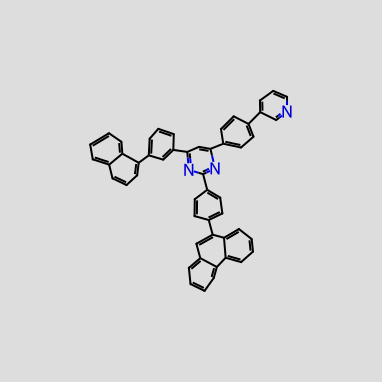 c1cncc(-c2ccc(-c3cc(-c4cccc(-c5cccc6ccccc56)c4)nc(-c4ccc(-c5cc6ccccc6c6ccccc56)cc4)n3)cc2)c1